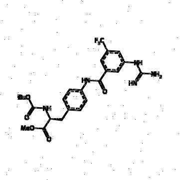 COC(=O)[C@H](Cc1ccc(NC(=O)c2cc(NC(=N)N)cc(C(F)(F)F)c2)cc1)NC(=O)OCC(C)C